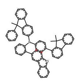 CC1(C)c2ccccc2-c2cccc(-c3ccc(N(c4ccc5c(c4)C(C)(c4ccccc4)c4ccccc4-5)c4ccccc4-c4ccc5oc6ccccc6c5c4)cc3)c21